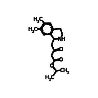 Cc1cc2c(cc1C)C(CC(=O)CC(=O)OC(C)C)NCC2